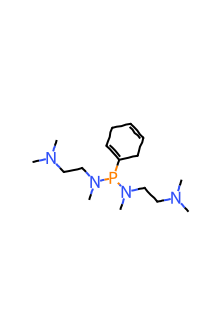 CN(C)CCN(C)P(C1=CCC=CC1)N(C)CCN(C)C